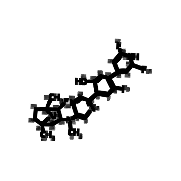 CN(c1cnc(-c2cc(F)c(C3=CC(F)NC(F)=C3)cc2O)cn1)[C@H]1C[C@]2(C)CC[C@@](C)(N2)[C@H]1F